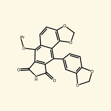 CC(C)Oc1c2c(c(-c3ccc4c(c3)OCO4)c3c4c(ccc13)OCO4)C(=O)NC2=O